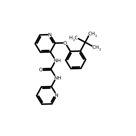 CC(C)(C)c1ccccc1Oc1ncccc1NC(=O)Nc1ccccn1